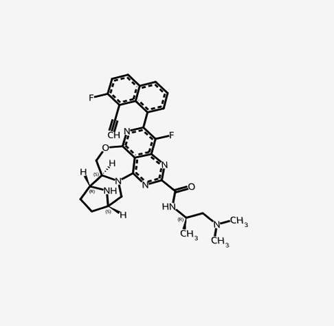 C#Cc1c(F)ccc2cccc(-c3nc4c5c(nc(C(=O)N[C@H](C)CN(C)C)nc5c3F)N3C[C@@H]5CC[C@@H](N5)[C@H]3CO4)c12